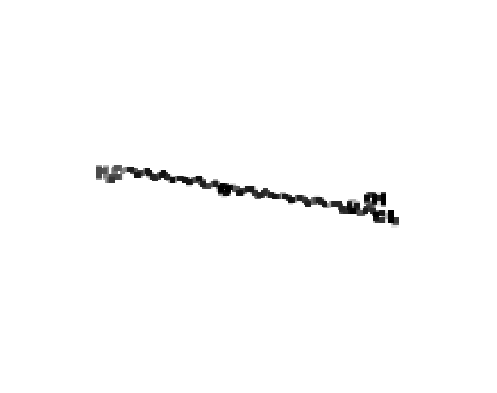 CCCCCCCCCCCCOCCCCCCCCCCCCCCOCC(C)O